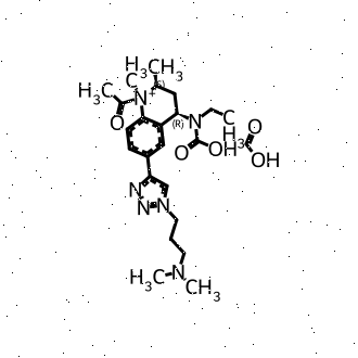 CCN(C(=O)O)[C@@H]1C[C@H](C)[N+](C)(C(C)=O)c2ccc(-c3cn(CCCN(C)C)nn3)cc21.O=CO